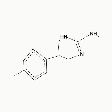 NC1=NCC(c2ccc(I)cc2)CN1